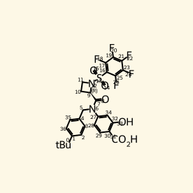 CC(C)(C)c1ccc(CN(C(=O)[C@H]2CCN2S(=O)(=O)c2c(F)c(F)c(F)c(F)c2F)c2ccc(C(=O)O)c(O)c2)cc1